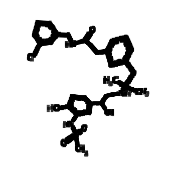 CC(C)(Cc1cccc(CC(=O)NCc2cccc(Cl)c2)c1)NCC(O)c1ccc(O)c(NS(C)(=O)=O)c1